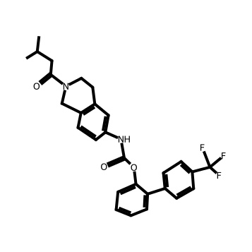 CC(C)CC(=O)N1CCc2cc(NC(=O)Oc3ccccc3-c3ccc(C(F)(F)F)cc3)ccc2C1